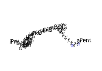 CCCCC/C=C\C/C=C\CCCCCCCCOCC(CN1CC=CCC1)OCCOCCOCCOCCO[C@H]1CC[C@@]2(C)C(=CC[C@H]3[C@@H]4CC[C@H]([C@H](C)CCCC(C)C)[C@@]4(C)CC[C@@H]32)C1